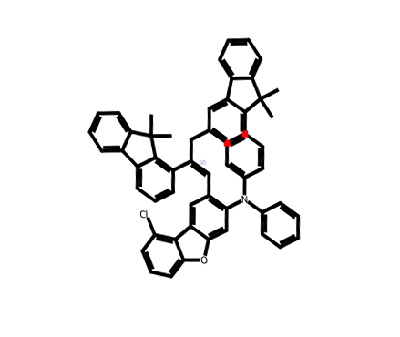 CC1(C)c2ccccc2-c2cc(C/C(=C/c3cc4c(cc3N(c3ccccc3)c3ccccc3)oc3cccc(Cl)c34)c3cccc4c3C(C)(C)c3ccccc3-4)ccc21